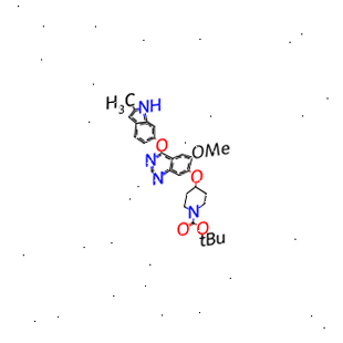 COc1cc2c(Oc3ccc4cc(C)[nH]c4c3)ncnc2cc1OC1CCN(C(=O)OC(C)(C)C)CC1